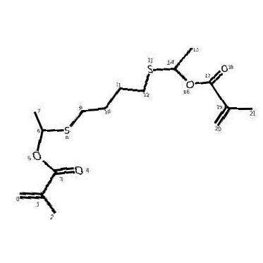 C=C(C)C(=O)OC(C)SCCCCSC(C)OC(=O)C(=C)C